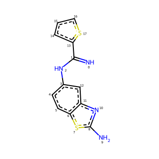 N=C(Nc1ccc2sc(N)nc2c1)c1cccs1